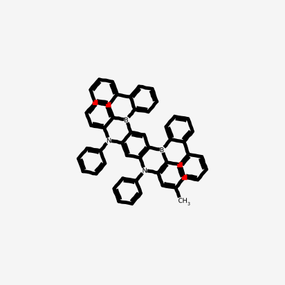 Cc1ccc2c(c1)N(c1ccccc1)c1cc3c(cc1B2c1ccccc1-c1ccccc1)B(c1ccccc1-c1ccccc1)c1ccccc1N3c1ccccc1